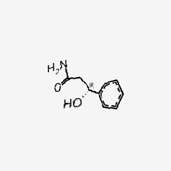 NC(=O)C[C@@H](O)c1ccccc1